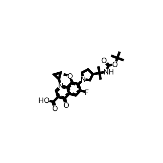 COc1c(N2CCC(C(C)(C)NC(=O)OC(C)(C)C)C2)c(F)cc2c(=O)c(C(=O)O)cn(C3CC3)c12